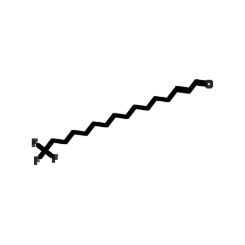 O=CC=CCCCCCCCCCCCCC(F)(F)F